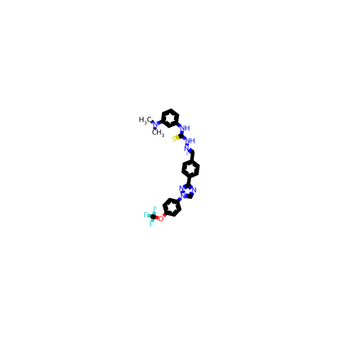 CN(C)c1cccc(NC(=S)N/N=C/c2ccc(-c3ncn(-c4ccc(OC(F)(F)F)cc4)n3)cc2)c1